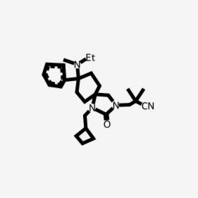 CCN(C)C1(c2ccccc2)CCC2(CC1)CN(CC(C)(C)C#N)C(=O)N2CC1CCC1